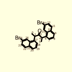 CC(C(=O)C(C)c1cccc2ccc(Br)cc12)c1cccc2ccc(Br)cc12